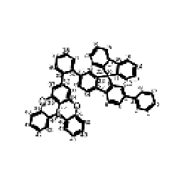 c1ccc(-c2ccc3c(c2)C2(c4ccccc4-c4ccccc42)c2cc(-c4ccccc4-c4cc5c6c(c4)Oc4ccccc4B6c4ccccc4O5)ccc2-3)cc1